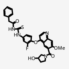 COc1cc2nccc(Oc3ccc(NC(=S)NC(=O)Cc4ccccc4)cc3F)c2cc1C(=O)N1CCC(O)C1